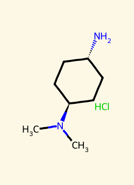 CN(C)[C@H]1CC[C@H](N)CC1.Cl